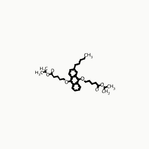 CCCCCc1ccc2c(OCCCCC(=O)OC(C)C)c3ccccc3c(OCCCCC(=O)OC(C)C)c2c1